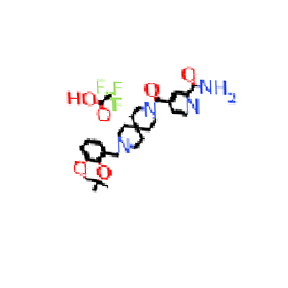 CC1(C)COc2cccc(CN3CCC4(CC3)CCN(C(=O)c3ccnc(C(N)=O)c3)CC4)c2O1.O=C(O)C(F)(F)F